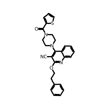 N#Cc1c(OCCc2ccccc2)nc2ccccc2c1N1CCN(C(=O)c2cccs2)CC1